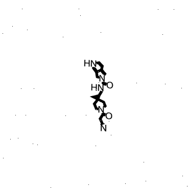 N#CCC(=O)N1CCC2(CC1)CC2CNC(=O)N1C=C2C=CNC=C2C1